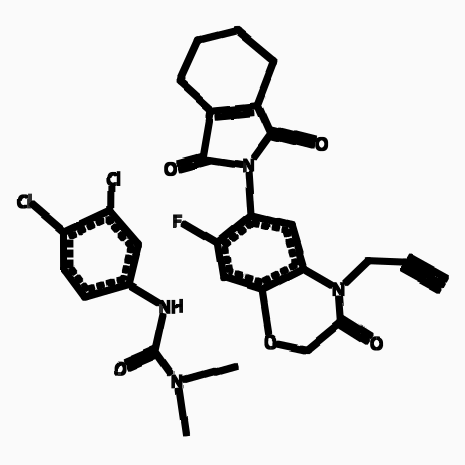 C#CCN1C(=O)COc2cc(F)c(N3C(=O)C4=C(CCCC4)C3=O)cc21.CN(C)C(=O)Nc1ccc(Cl)c(Cl)c1